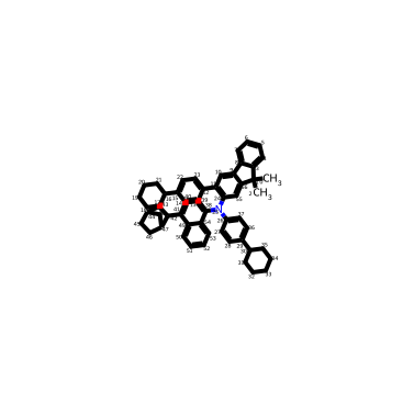 CC1(C)c2ccccc2-c2cc(-c3ccc(C4CCCCC4)cc3)c(N(c3ccc(C4CCCCC4)cc3)c3ccc(C4CC5CCC4C5)c4ccccc34)cc21